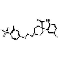 Cc1cc(OCCN2CCC3(CC2)C(=O)Nc2ccc(Cl)cc23)cnc1S(C)(=O)=O